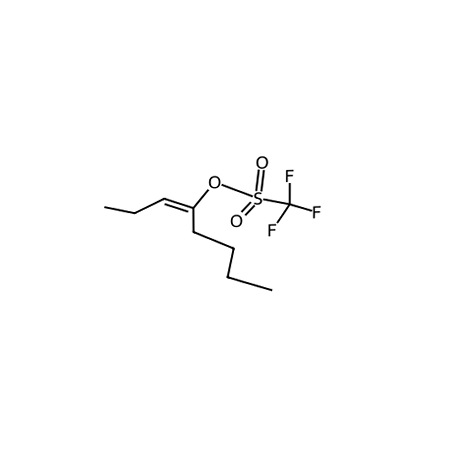 CC/C=C(\CCCC)OS(=O)(=O)C(F)(F)F